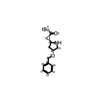 CC(C)(C)C(=O)OC1C[C@@H](OCc2ccccc2)CN1